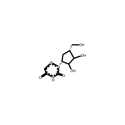 O=c1cnn([C@@H]2C[C@H](CO)C(O)C2O)c(=O)[nH]1